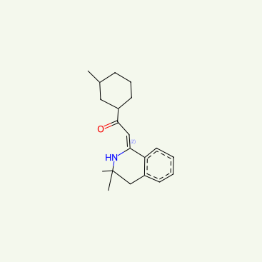 CC1CCCC(C(=O)/C=C2\NC(C)(C)Cc3ccccc32)C1